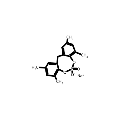 Cc1cc(C)c2c(c1)Cc1cc(C)cc(C)c1OP(=O)([O-])O2.[Na+]